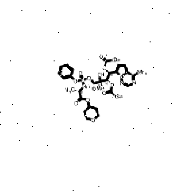 CO[C@](C#N)(COP(=O)(N[C@@H](C)C(=O)OC1CCOCC1)Oc1ccccc1)[C@@H](OC(=O)C(C)(C)C)[C@@H](OC(=O)C(C)(C)C)c1ccc2c(N)ncnn12